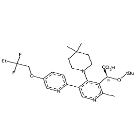 CCC(F)(F)COc1ccc(-c2cnc(C)c([C@H](OC(C)(C)C)C(=O)O)c2N2CCC(C)(C)CC2)nc1